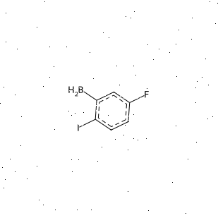 Bc1cc(F)ccc1I